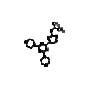 CC(C)Oc1nccc(-c2nc(N3CCOCC3)nc(N3CCOCC3)n2)n1